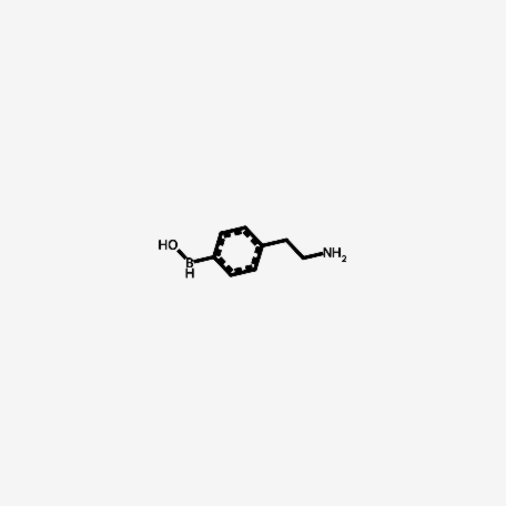 NCCc1ccc(BO)cc1